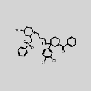 O=C(c1ccccc1)N1CCCC(NCCCN2CCC(O)CC2CS(=O)(=O)c2ccccc2)(c2ccc(Cl)c(Cl)c2)C1